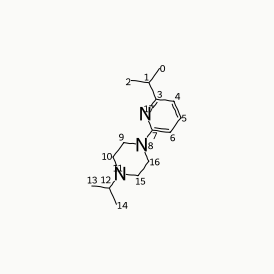 CC(C)c1cccc(N2CCN(C(C)C)CC2)n1